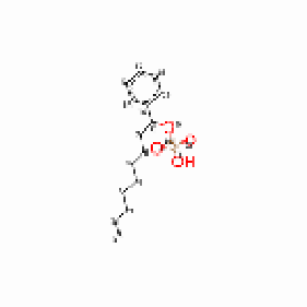 C=CCCCCCCC(OS(=O)(=O)O)c1ccccc1